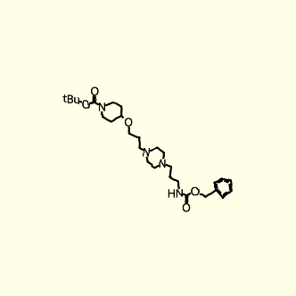 CC(C)(C)OC(=O)N1CCC(OCCCN2CCN(CCCNC(=O)OCc3ccccc3)CC2)CC1